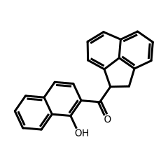 O=C(c1ccc2ccccc2c1O)C1Cc2cccc3cccc1c23